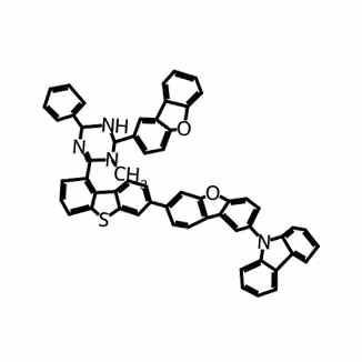 CN1C(c2cccc3sc4cc(-c5ccc6c(c5)oc5ccc(-n7c8ccccc8c8ccccc87)cc56)ccc4c23)=NC(c2ccccc2)NC1c1ccc2oc3ccccc3c2c1